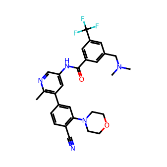 Cc1ncc(NC(=O)c2cc(CN(C)C)cc(C(F)(F)F)c2)cc1-c1ccc(C#N)c(N2CCOCC2)c1